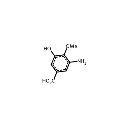 COc1c(N)cc(C(=O)O)cc1O